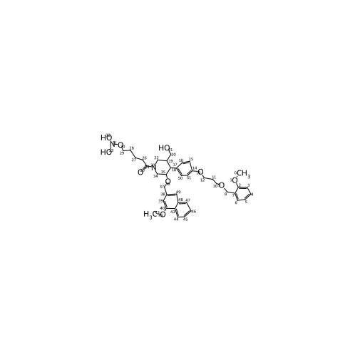 COc1ccccc1COCCCOc1ccc(C2C(CO)CN(C(=O)CCCCON(O)O)CC2OCc2cc(OC)c3ccccc3c2)cc1